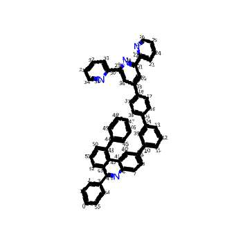 c1ccc(-c2nc3ccc(-c4cccc(-c5ccc(-c6cc(-c7ccccn7)nc(-c7ccccn7)c6)cc5)c4)cc3c3c(-c4ccccc4)cccc23)cc1